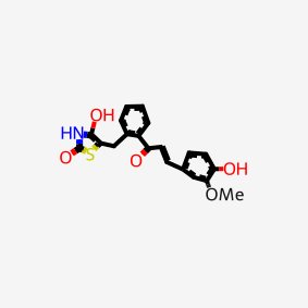 COc1cc(C=CC(=O)c2ccccc2Cc2sc(=O)[nH]c2O)ccc1O